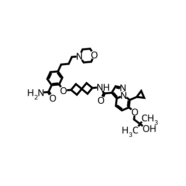 CC(C)(O)COc1ccc2c(C(=O)NC3CC4(C3)CC(Oc3cc(CCCN5CCOCC5)ccc3C(N)=O)C4)cnn2c1C1CC1